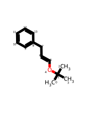 CC(C)(C)OC=CCc1ccccc1